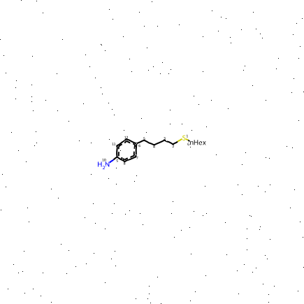 CCCCCCSCCCCc1ccc(N)cc1